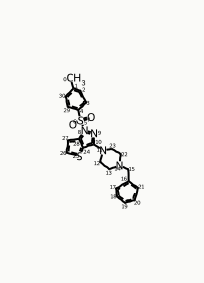 Cc1ccc(S(=O)(=O)n2nc(N3CCN(Cc4ccccc4)CC3)c3sccc32)cc1